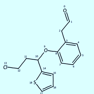 O=CCc1ccccc1OC(CCCl)c1cccs1